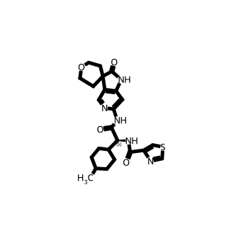 CC1CCC([C@H](NC(=O)c2cscn2)C(=O)Nc2cc3c(cn2)C2(CCOCC2)C(=O)N3)CC1